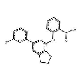 O=C(O)c1ccccc1Nc1cc(-c2cccc(Cl)c2)nc2c1CCC2